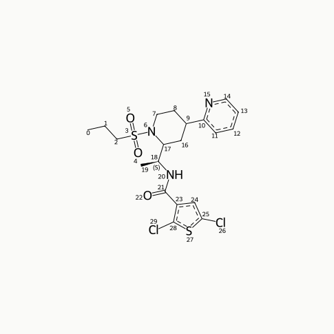 CCCS(=O)(=O)N1CCC(c2ccccn2)CC1[C@H](C)NC(=O)c1cc(Cl)sc1Cl